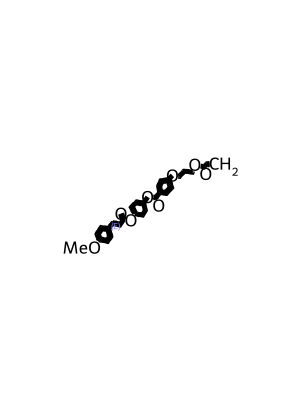 C=CC(=O)OCCCOc1ccc(C(=O)OC2=CC=C(OC(=O)/C=C/c3ccc(OC)cc3)CC2)cc1